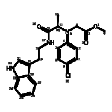 COC(=O)CN(c1ccc(Cl)cc1)[C@H](C)C(=O)NCCc1c[nH]c2ccccc12